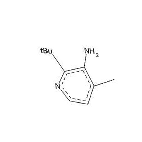 Cc1ccnc(C(C)(C)C)c1N